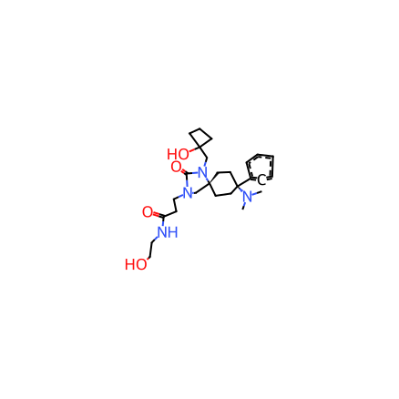 CN(C)[C@]1(c2ccccc2)CC[C@@]2(CC1)CN(CCC(=O)NCCO)C(=O)N2CC1(O)CCC1